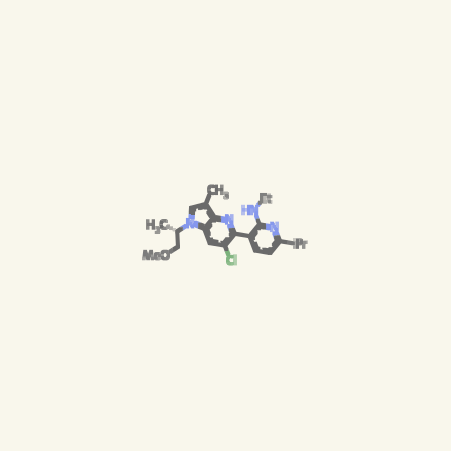 CCNc1nc(C(C)C)ccc1-c1nc2c(C)cn([C@@H](C)COC)c2cc1Cl